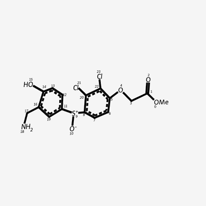 COC(=O)COc1ccc([S+]([O-])c2ccc(O)c(CN)c2)c(Cl)c1Cl